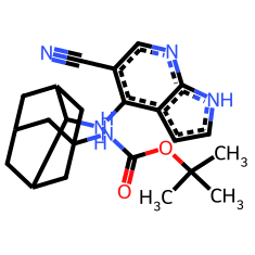 CC(C)(C)OC(=O)NC12CC3CC(C1)C(Nc1c(C#N)cnc4[nH]ccc14)C(C3)C2